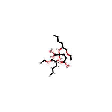 CCCCC(COCC)OC(CCC(=O)O)(OC(CCCC)COCC)C(=O)O